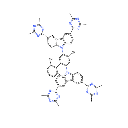 Cc1nc(C)nc(-c2ccc3c(c2)c2cc(-c4nc(C)nc(C)n4)ccc2n3-c2cc(-c3c(C#N)cccc3C(F)(F)F)c(-n3c4ccc(-c5nc(C)nc(C)n5)cc4c4cc(-c5nc(C)nc(C)n5)ccc43)cc2C#N)n1